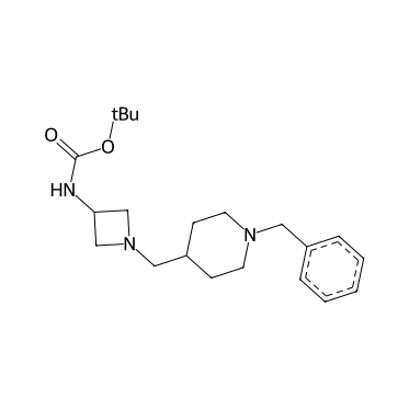 CC(C)(C)OC(=O)NC1CN(CC2CCN(Cc3ccccc3)CC2)C1